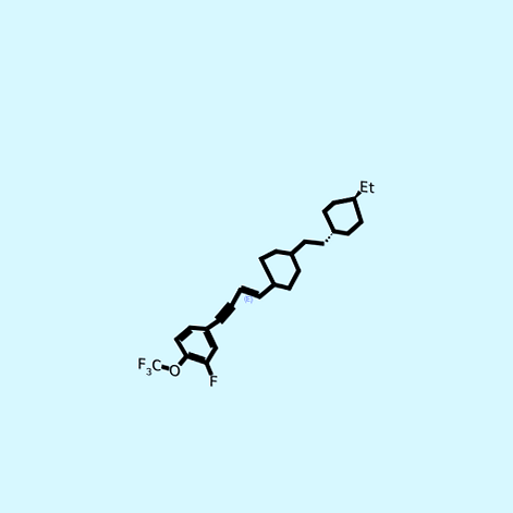 CC[C@H]1CC[C@H](CCC2CCC(/C=C/C#Cc3ccc(OC(F)(F)F)c(F)c3)CC2)CC1